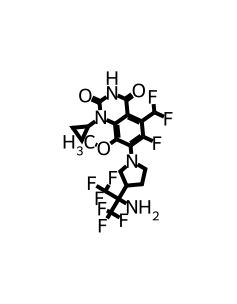 COc1c(N2CCC(C(N)(C(F)(F)F)C(F)(F)F)C2)c(F)c(C(F)F)c2c(=O)[nH]c(=O)n(C3CC3)c12